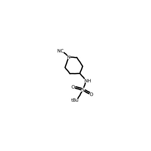 CC(C)(C)S(=O)(=O)NC1CCN(C#N)CC1